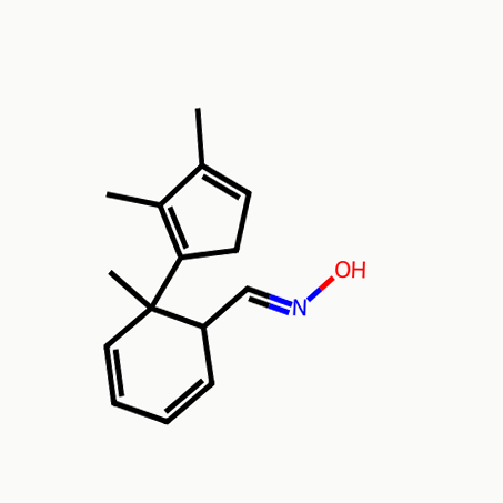 CC1=CCC(C2(C)C=CC=CC2/C=N/O)=C1C